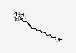 [2H]C([2H])([2H])C([2H])([2H])CCC#CCCCCCCCCCCO